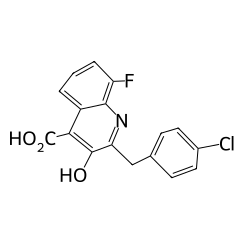 O=C(O)c1c(O)c(Cc2ccc(Cl)cc2)nc2c(F)cccc12